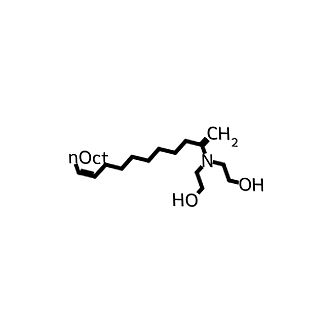 C=C(CCCCCCC/C=C\CCCCCCCC)N(CCO)CCO